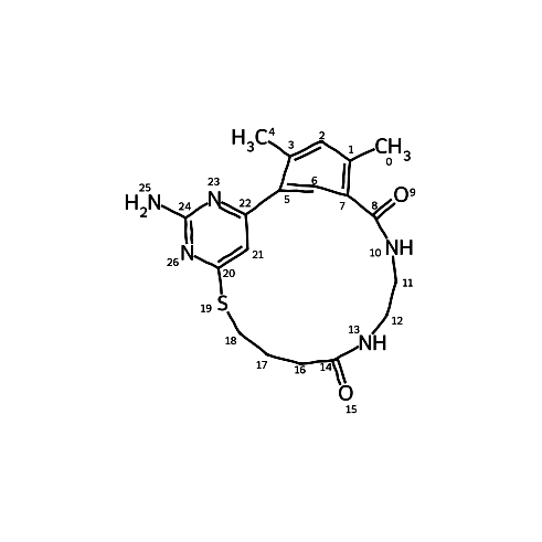 Cc1cc(C)c2cc1C(=O)NCCNC(=O)CCCSc1cc-2nc(N)n1